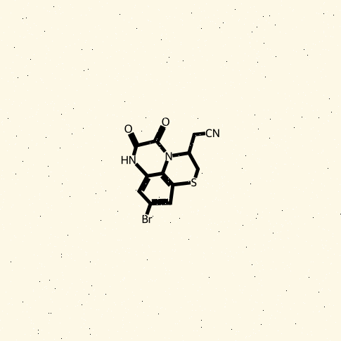 N#CCC1CSc2cc(Br)cc3[nH]c(=O)c(=O)n1c23